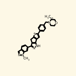 C[C@@H]1COCCN1Cc1ccc(-c2cc3c(s2)Cc2c(-c4ccc5cnn(C)c5c4)n[nH]c2-3)cc1